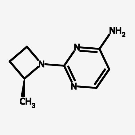 C[C@H]1CCN1c1nccc(N)n1